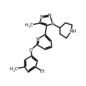 CCc1cc(C)cc(Oc2cccc(-c3c(C)nnn3C3CCNCC3)n2)c1